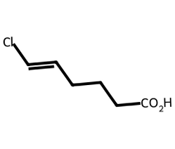 O=C(O)CCCC=CCl